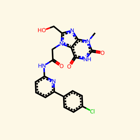 Cn1c(=O)[nH]c(=O)c2c1nc(CO)n2CC(=O)Nc1cccc(-c2ccc(Cl)cc2)n1